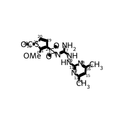 COC1=C(S(=O)(=O)N=C(N)NNc2nc(C)cc(C)n2)C=CS1=C=O